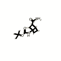 CC(C)(C)OC(=O)NC12CCC1C(C(N)=O)C2